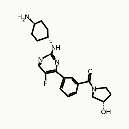 N[C@H]1CC[C@H](Nc2ncc(F)c(-c3cccc(C(=O)N4CC[C@H](O)C4)c3)n2)CC1